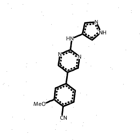 COc1cc(-c2cnc(Nc3cn[nH]c3)nc2)ccc1C#N